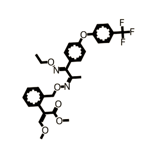 CCON=C(C(C)=NOCc1ccccc1C(=COC)C(=O)OC)c1ccc(Oc2ccc(C(F)(F)F)cc2)cc1